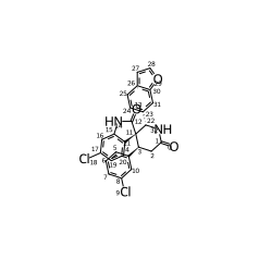 O=C1C[C@@H](c2cccc(Cl)c2)[C@]2(C(=O)Nc3cc(Cl)ccc32)[C@H](c2ccc3ccoc3c2)N1